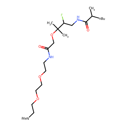 CCCCC(C)C(=O)NCC(F)C(C)(C)OCC(=O)NCCOCCOCCNC